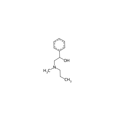 CCCN(C)CC(O)c1ccccc1